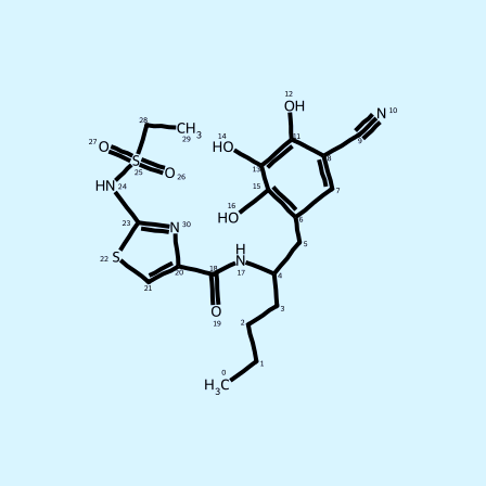 CCCCC(Cc1cc(C#N)c(O)c(O)c1O)NC(=O)c1csc(NS(=O)(=O)CC)n1